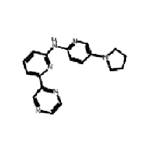 c1cc(Nc2ccc(N3CCCC3)cn2)nc(-c2cnccn2)c1